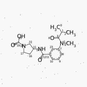 CC(C)C(=O)N(C)c1cccc(C(=O)NC2CCN(C(=O)O)C2)c1